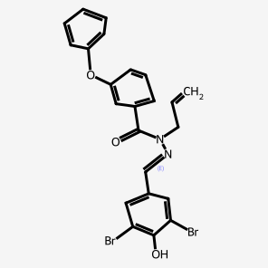 C=CCN(/N=C/c1cc(Br)c(O)c(Br)c1)C(=O)c1cccc(Oc2ccccc2)c1